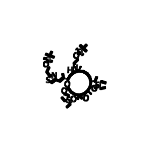 CC[Si](CC)(CC)O[C@H]1[C@@H](C)CCC[C@]2(C)[C@H](C[C@@H](/C(C)=C/c3csc(CCO[Si](C)(C)C(C)(C)C)n3)OC(=O)C[C@H](O[Si](CC)(CC)CC)C(C)(C)C(=O)[C@@H]1C)N2CCO[Si](C)(C)C(C)(C)C